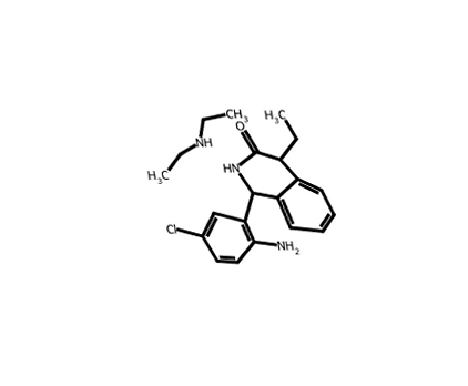 CCC1C(=O)NC(c2cc(Cl)ccc2N)c2ccccc21.CCNCC